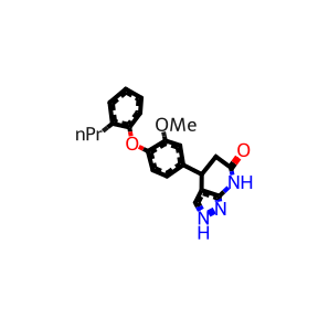 CCCc1ccccc1Oc1ccc(C2CC(=O)Nc3n[nH]cc32)cc1OC